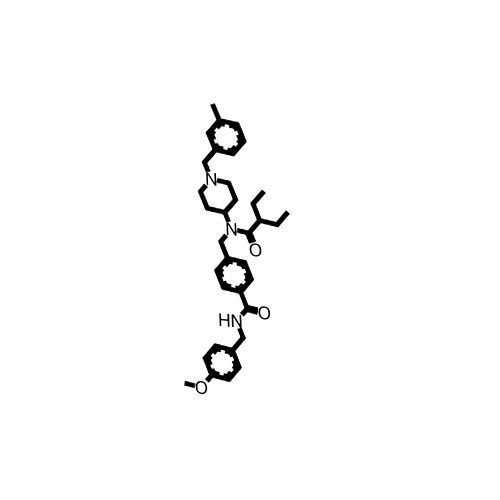 CCC(CC)C(=O)N(Cc1ccc(C(=O)NCc2ccc(OC)cc2)cc1)C1CCN(Cc2cccc(C)c2)CC1